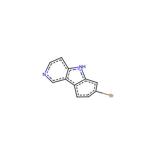 Brc1ccc2c(c1)[nH]c1ccncc12